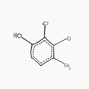 Cc1ccc(O)c(Cl)c1Cl